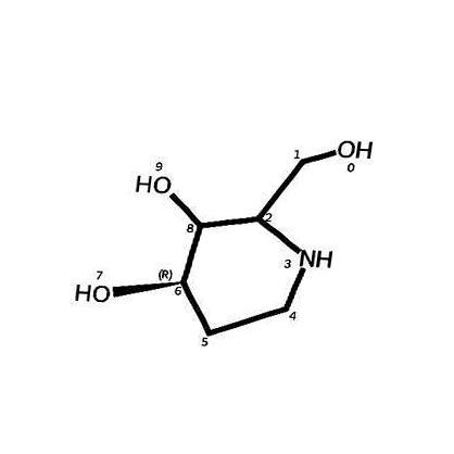 OCC1NCC[C@@H](O)C1O